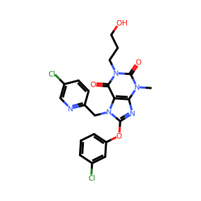 Cn1c(=O)n(CCCO)c(=O)c2c1nc(Oc1cccc(Cl)c1)n2Cc1ccc(Cl)cn1